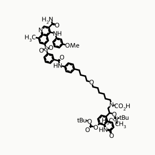 COc1cccc(Nc2c(C(N)=O)cnc3c(C)cc(S(=O)(=O)c4cccc(C(=O)Nc5ccc(CCCCOCCCCCCN(CC(O[Si](C)(C)C(C)(C)C)c6ccc(OC(=O)OC(C)(C)C)c7[nH]c(=O)ccc67)C(=O)O)cc5)c4)cc23)c1